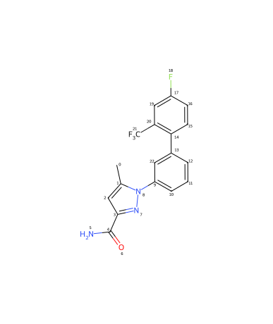 Cc1cc(C(N)=O)nn1-c1cccc(-c2ccc(F)cc2C(F)(F)F)c1